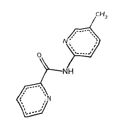 Cc1ccc(NC(=O)c2ccccn2)nc1